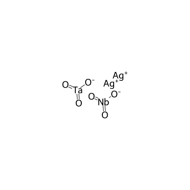 [Ag+].[Ag+].[O]=[Nb](=[O])[O-].[O]=[Ta](=[O])[O-]